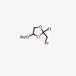 CCC1(CC(C)C)OCC(OC)O1